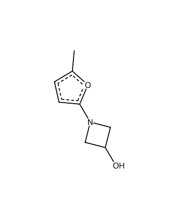 Cc1ccc(N2CC(O)C2)o1